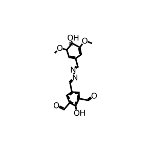 COC1=CC(C=NN=Cc2cc(C=O)c(O)c(C=O)c2)=CC(OC)[C@H]1O